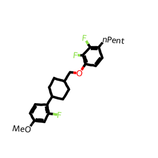 CCCCCc1ccc(OCC2CCC(c3ccc(OC)cc3F)CC2)c(F)c1F